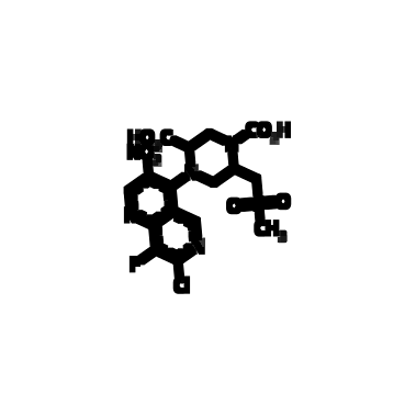 CS(=O)(=O)CC1CN(c2c([N+](=O)[O-])cnc3c(F)c(Cl)ncc23)C(C(=O)O)CN1C(=O)O